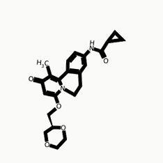 Cc1c2n(c(OC[C@@H]3COCCO3)cc1=O)CCc1cc(NC(=O)C3CC3)ccc1-2